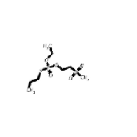 CCCSP(=O)(OCC)SCCS(C)(=O)=O